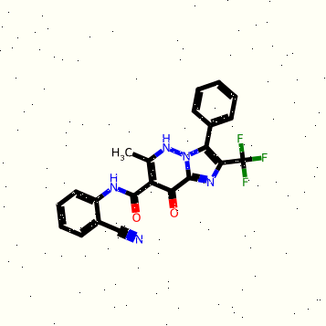 Cc1[nH]n2c(-c3ccccc3)c(C(F)(F)F)nc2c(=O)c1C(=O)Nc1ccccc1C#N